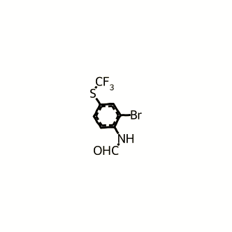 O=CNc1ccc(SC(F)(F)F)cc1Br